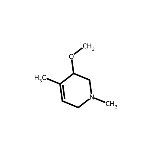 COC1CN(C)CC=C1C